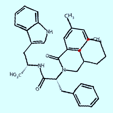 Cc1cc(C)cc(C(=O)N(CC2CCCCC2)[C@H](Cc2ccccc2)C(=O)N[C@@H](Cc2c[nH]c3ccccc23)C(=O)O)c1